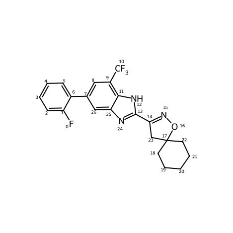 Fc1ccccc1-c1cc(C(F)(F)F)c2[nH]c(C3=NOC4(CCCCC4)C3)nc2c1